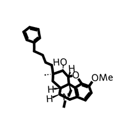 COc1ccc2c3c1O[C@H]1[C@@H](O)[C@](C)(CCCCc4ccccc4)C[C@H]4[C@@H](C2)N(C)CC[C@@]341